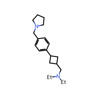 CCN(CC)CC1CC(c2ccc(CN3CCCC3)cc2)C1